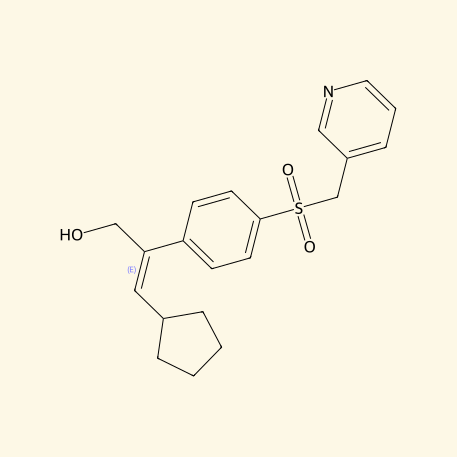 O=S(=O)(Cc1cccnc1)c1ccc(/C(=C\C2CCCC2)CO)cc1